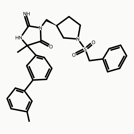 Cc1cccc(-c2cccc(C3(C)NC(=N)N(C[C@H]4CCN(S(=O)(=O)Cc5ccccc5)C4)C3=O)c2)c1